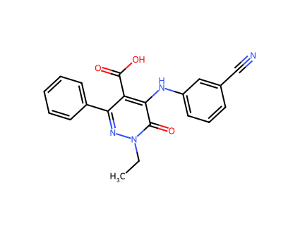 CCn1nc(-c2ccccc2)c(C(=O)O)c(Nc2cccc(C#N)c2)c1=O